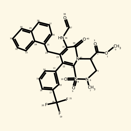 COC(=O)C1CN(C)S(=O)(=O)c2c(-c3cccc(C(F)(F)F)c3)c(Cc3cccc4ccccc34)c(NC=O)c(=O)n21